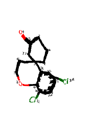 O=C1CCCC2(CCOc3c(Cl)cc(Cl)cc32)C1